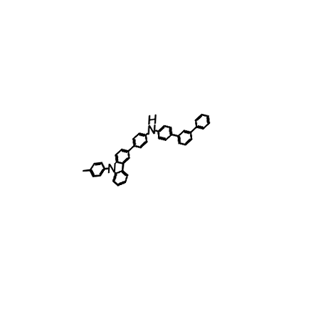 Cc1ccc(-n2c3ccccc3c3cc(-c4ccc(Nc5ccc(-c6cccc(-c7ccccc7)c6)cc5)cc4)ccc32)cc1